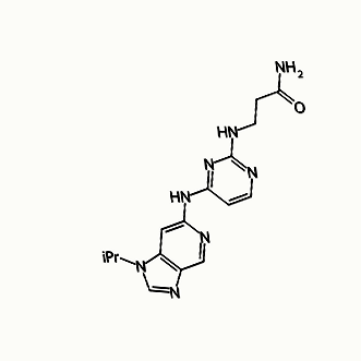 CC(C)n1cnc2cnc(Nc3ccnc(NCCC(N)=O)n3)cc21